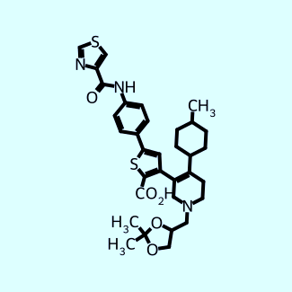 CC1CCC(C2=C(c3cc(-c4ccc(NC(=O)c5cscn5)cc4)sc3C(=O)O)CN(CC3COC(C)(C)O3)CC2)CC1